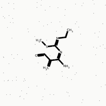 C=C(C=O)/C(N)=N\C(=N/CC)SC